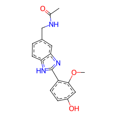 COc1cc(O)ccc1-c1nc2cc(CNC(C)=O)ccc2[nH]1